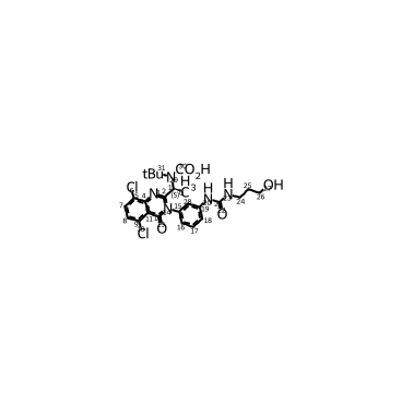 C[C@@H](c1nc2c(Cl)ccc(Cl)c2c(=O)n1-c1cccc(NC(=O)NCCCO)c1)N(C(=O)O)C(C)(C)C